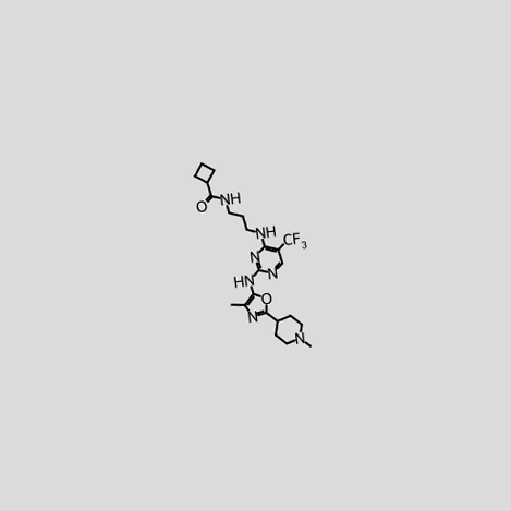 Cc1nc(C2CCN(C)CC2)oc1Nc1ncc(C(F)(F)F)c(NCCCNC(=O)C2CCC2)n1